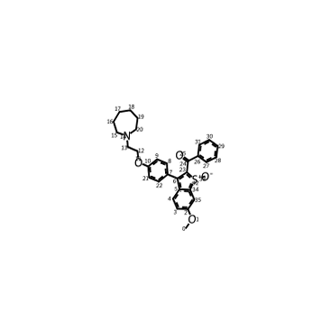 COc1ccc2c(-c3ccc(OCCN4CCCCCC4)cc3)c(C(=O)c3ccccc3)[s+]([O-])c2c1